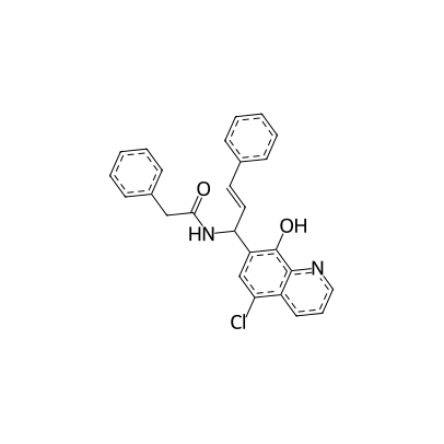 O=C(Cc1ccccc1)NC(/C=C/c1ccccc1)c1cc(Cl)c2cccnc2c1O